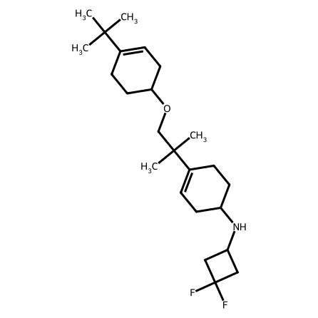 CC(C)(C)C1=CCC(OCC(C)(C)C2=CCC(NC3CC(F)(F)C3)CC2)CC1